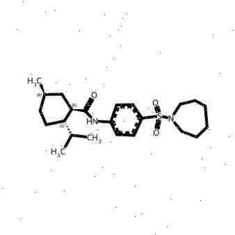 CC(C)[C@@H]1CC[C@@H](C)C[C@H]1C(=O)Nc1ccc(S(=O)(=O)N2CCCCCC2)cc1